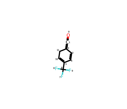 O=C=C1C=CC(C(F)(F)F)=CC1